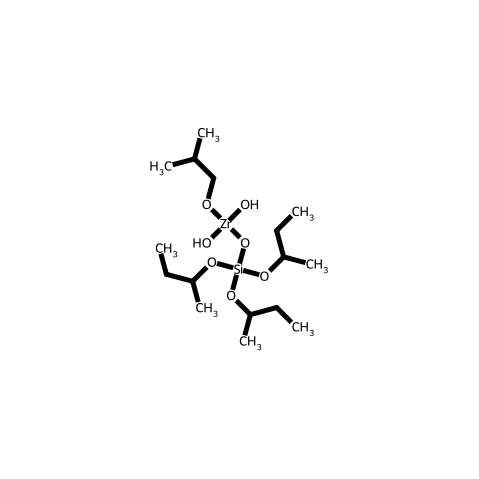 CCC(C)O[Si](OC(C)CC)(OC(C)CC)[O][Zr]([OH])([OH])[O]CC(C)C